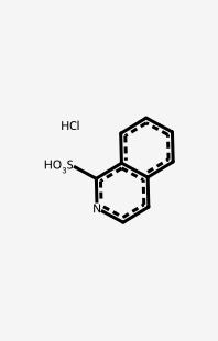 Cl.O=S(=O)(O)c1nccc2ccccc12